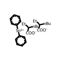 CCCCC(CC)C(=O)[O-].CCCCC(CC)C(=O)[O-].c1cc[c]([Sn+2][c]2ccccc2)cc1